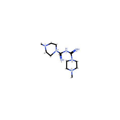 CN1CCN(C(=N)NC(=N)N2CCN(C)CC2)CC1